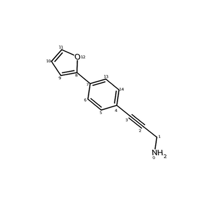 NCC#Cc1ccc(-c2ccco2)cc1